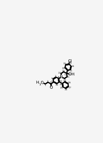 CCCC(=O)c1ccc(N2CCC(O)(c3ccc(Cl)cc3)CC2)c(-c2ccccc2)c1